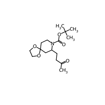 CC(=O)CCC1CC2(CCN1C(=O)OC(C)(C)C)OCCO2